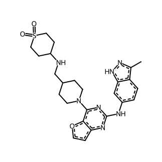 Cc1n[nH]c2cc(Nc3nc(N4CCC(CNC5CCS(=O)(=O)CC5)CC4)c4occc4n3)ccc12